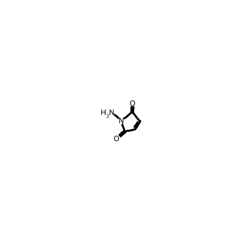 NN1C(=O)C=CC1=O